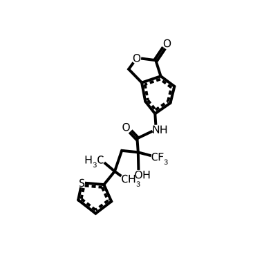 CC(C)(CC(O)(C(=O)Nc1ccc2c(c1)COC2=O)C(F)(F)F)c1cccs1